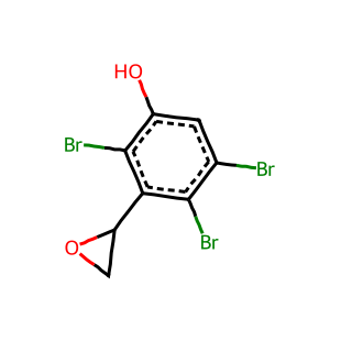 Oc1cc(Br)c(Br)c(C2CO2)c1Br